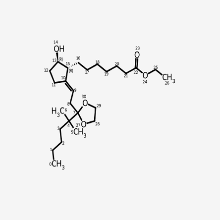 CCCCC(C)(C)C1(CC=C2CC[C@@H](O)[C@@H]2CCCCCCC(=O)OCC)OCCO1